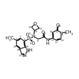 Cc1cc(S(=O)(=O)N(CC(=O)Nc2ccn(C)c(=O)c2)C2COC2)c2[nH]ncc2c1